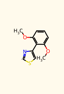 COc1cccc(OC)c1-c1cs[c]n1